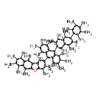 Bc1c(B)c(B)c(-c2c(B)c(B)c3c(B)c(-c4c5c(B)c(B)c(B)c(B)c5c(-c5c(B)c(B)c6oc7c(B)c8c(B)c(B)c(B)c(B)c8c(B)c7c6c5B)c5c(B)c(B)c(B)c(B)c45)c(B)c(B)c3c2B)c(B)c1B